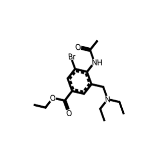 CCOC(=O)c1cc(Br)c(NC(C)=O)c(CN(CC)CC)c1